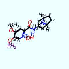 BOc1cc(C(=O)N[C@H]2C[C@H]3CC[C@@H](C2)N3C)[n+](O)cc1OP